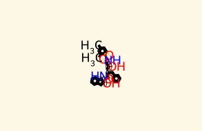 Cc1ccc(S(=O)(=O)NC[C@@H](O)C[C@@H](Cc2ccccc2)C(=O)N[C@H]2c3ccccc3C[C@H]2O)c(C)c1